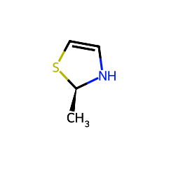 C[C@@H]1NC=CS1